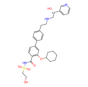 O=C(NS(=O)(=O)CCO)c1ccc(-c2ccc(CCNC[C@H](O)c3cccnc3)cc2)cc1OC1CCCCC1